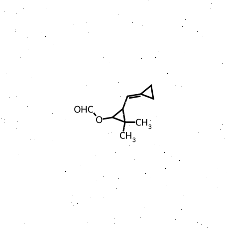 CC1(C)C(C=C2CC2)C1OC=O